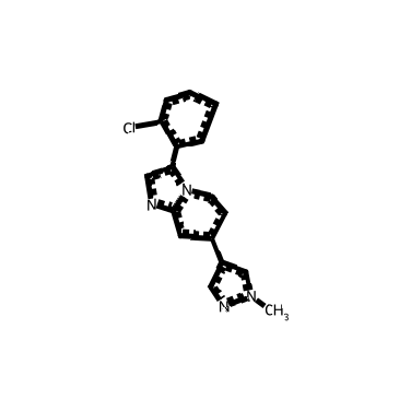 Cn1cc(-c2ccn3c(-c4ccccc4Cl)cnc3c2)cn1